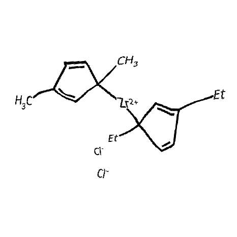 CCC1=C[C](CC)([Zr+2][C]2(C)C=CC(C)=C2)C=C1.[Cl-].[Cl-]